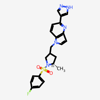 C[C@H]1CC(Cn2ccc3nc(-c4cn[nH]c4)ccc32)CN1S(=O)(=O)c1ccc(F)cc1